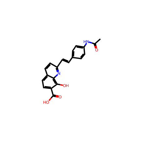 CC(=O)Nc1ccc(C=Cc2ccc3ccc(C(=O)O)c(O)c3n2)cc1